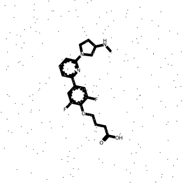 CNC1CCN(c2cccc(-c3cc(F)c(OCCCC(=O)O)c(F)c3)n2)C1